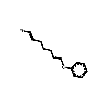 CCC=CCCCC=COc1ccccc1